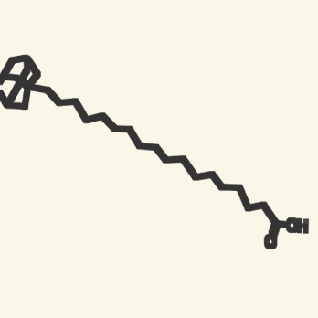 O=C(O)CCCCCCCCCCCCCCCCCC12CC3CC(CC(C3)C1)C2